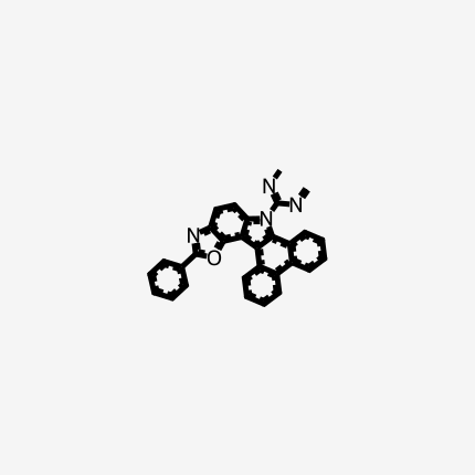 C=N/C(=N\C)n1c2ccc3nc(-c4ccccc4)oc3c2c2c3ccccc3c3ccccc3c21